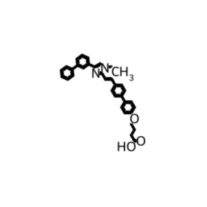 CCn1cc(-c2cccc(-c3ccccc3)c2)nc1/C=C/c1ccc(-c2ccc(OCCCC(=O)O)cc2)cc1